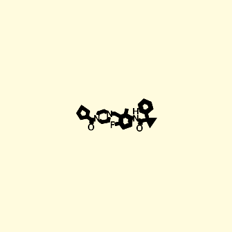 Cc1c(NC(=O)C2(c3ccccc3)CC2)ccc(F)c1CN1CCN(C(=O)C2CCCC2)CC1